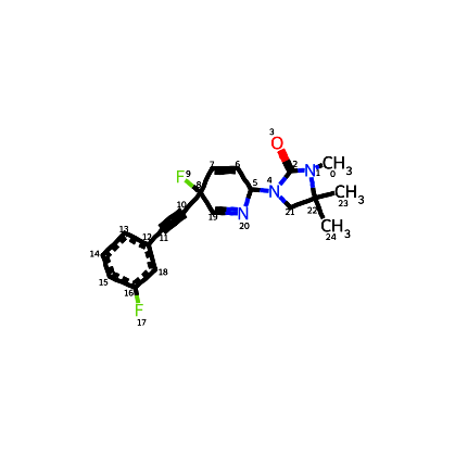 CN1C(=O)N(C2C=CC(F)(C#Cc3cccc(F)c3)C=N2)CC1(C)C